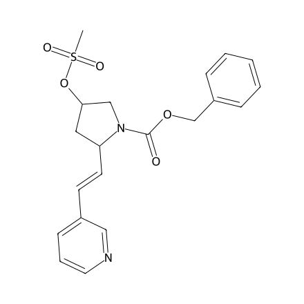 CS(=O)(=O)OC1CC(C=Cc2cccnc2)N(C(=O)OCc2ccccc2)C1